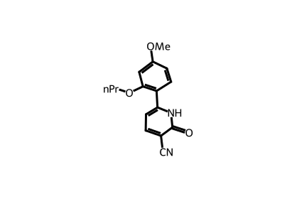 CCCOc1cc(OC)ccc1-c1ccc(C#N)c(=O)[nH]1